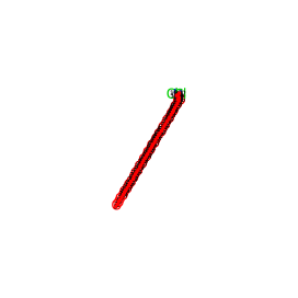 COCCOCCOCCOCCOCCOCCOCCOCCCOCCOCCOCCOCCOCCOCCOCCOCCOCCOCCOCCOCCCOCCOCCOCCOCCOCCOCCOCCOCCOCCOCCS(=O)(=O)CCC(C)(C)N(Cl)Cl